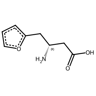 N[C@@H](CC(=O)O)Cc1ccco1